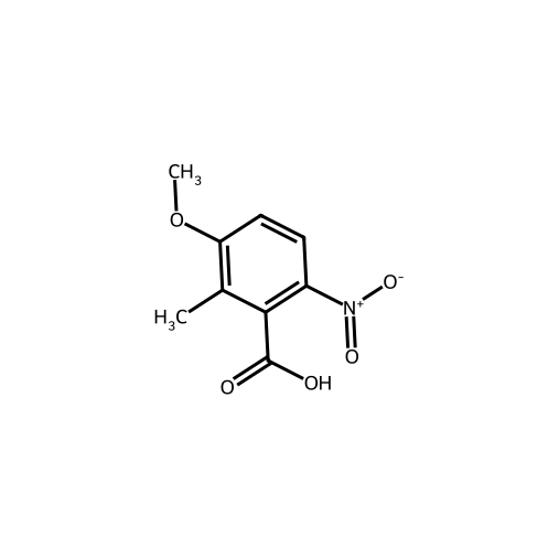 COc1ccc([N+](=O)[O-])c(C(=O)O)c1C